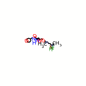 C/C=C(\CC/C=C(\C)COCc1cc(C(=O)NCC2CCCOCC2)no1)SC(F)(F)F